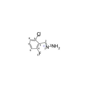 N/N=C/c1c(F)cccc1Cl